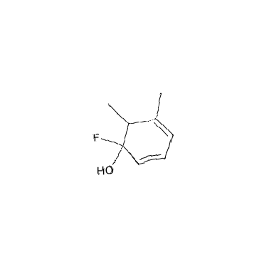 CC1=CC=CC(O)(F)C1C